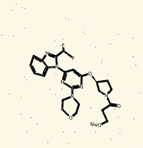 COCCC(=O)N1CC[C@H](Oc2cc(-n3c(C(F)F)nc4ccccc43)nc(N3CCOCC3)n2)C1